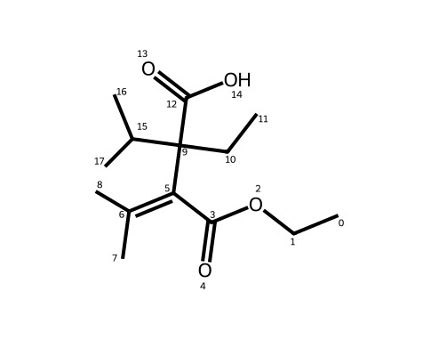 CCOC(=O)C(=C(C)C)C(CC)(C(=O)O)C(C)C